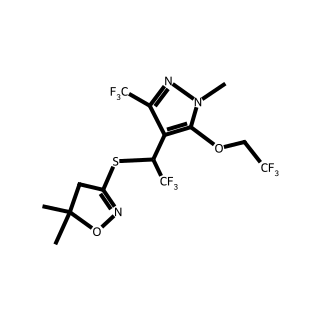 Cn1nc(C(F)(F)F)c(C(SC2=NOC(C)(C)C2)C(F)(F)F)c1OCC(F)(F)F